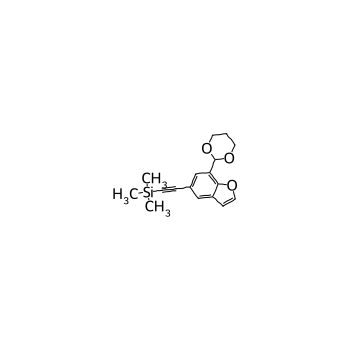 C[Si](C)(C)C#Cc1cc(C2OCCCO2)c2occc2c1